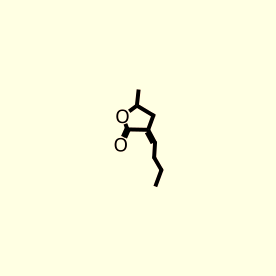 CCCC=C1CC(C)OC1=O